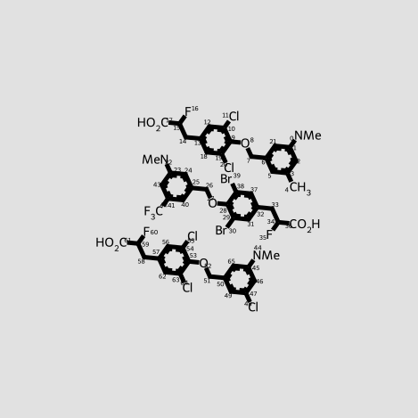 CNc1cc(C)cc(COc2c(Cl)cc(CC(F)C(=O)O)cc2Cl)c1.CNc1cc(COc2c(Br)cc(CC(F)C(=O)O)cc2Br)cc(C(F)(F)F)c1.CNc1cc(Cl)cc(COc2c(Cl)cc(CC(F)C(=O)O)cc2Cl)c1